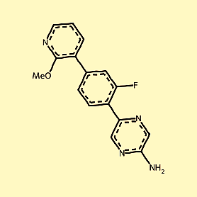 COc1ncccc1-c1ccc(-c2cnc(N)cn2)c(F)c1